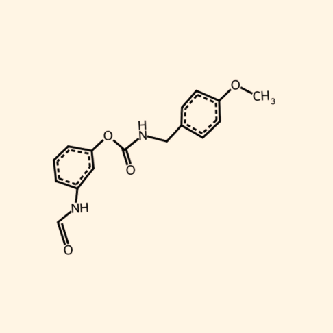 COc1ccc(CNC(=O)Oc2cccc(NC=O)c2)cc1